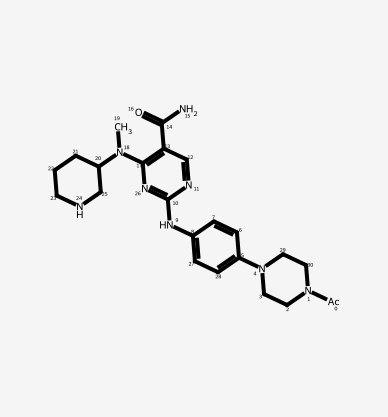 CC(=O)N1CCN(c2ccc(Nc3ncc(C(N)=O)c(N(C)C4CCCNC4)n3)cc2)CC1